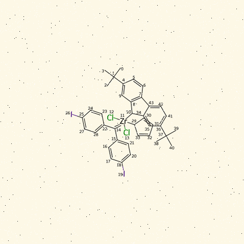 CC(C)(C)c1ccc2c(c1)[CH]([Zr]([Cl])([Cl])(=[C](c1ccc(I)cc1)c1ccc(I)cc1)[CH]1C=CC=C1)c1cc(C(C)(C)C)ccc1-2